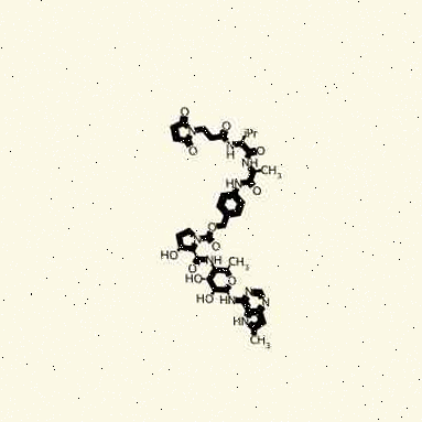 Cc1cc2ncnc(N[C@H]3O[C@@H](C)[C@H](NC(=O)[C@H]4[C@@H](O)CCN4C(=O)OCc4ccc(NC(=O)[C@H](C)NC(=O)[C@@H](NC(=O)CCN5C(=O)C=CC5=O)C(C)C)cc4)[C@@H](O)[C@@H]3O)c2[nH]1